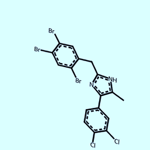 Cc1[nH]c(Cc2cc(Br)c(Br)cc2Br)nc1-c1ccc(Cl)c(Cl)c1